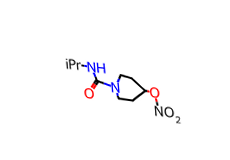 CC(C)NC(=O)N1CCC(O[N+](=O)[O-])CC1